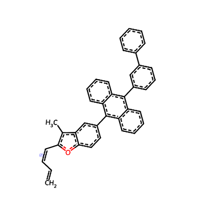 C=C/C=C\c1oc2ccc(-c3c4ccccc4c(-c4cccc(-c5ccccc5)c4)c4ccccc34)cc2c1C